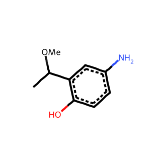 COC(C)c1cc(N)ccc1O